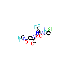 CC(=O)c1cn(CC(=O)N2CC(C(F)F)C[C@H]2C(=O)NCc2cccc(Cl)c2F)c2ccc(C(=O)N3CCCC(F)(F)C3)cc12